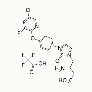 NC(CC(=O)O)Cn1ccn(-c2ccc(Oc3ncc(Cl)cc3F)cc2)c1=O.O=C(O)C(F)(F)F